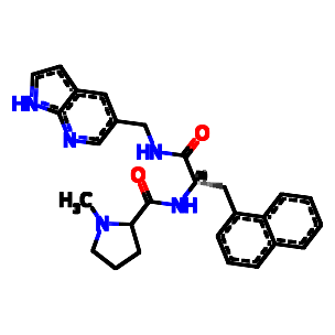 CN1CCCC1C(=O)N[C@@H](Cc1cccc2ccccc12)C(=O)NCc1cnc2[nH]ccc2c1